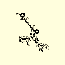 CC(C)(C)OC(=O)N[C@@H](Cc1cn(C(=O)OC(C)(C)C)cn1)C(=O)Nc1ccccc1NC(=O)CCCCCC(=O)Nc1cccc(Br)c1